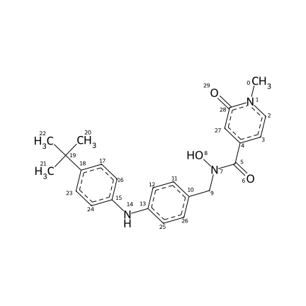 Cn1ccc(C(=O)N(O)Cc2ccc(Nc3ccc(C(C)(C)C)cc3)cc2)cc1=O